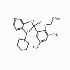 CCCC(CC)(Pc1ccccc1CN1CCCCC1)c1cc(C)cc(C)c1OCOC